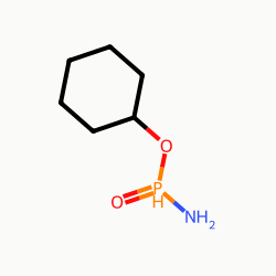 N[PH](=O)OC1CCCCC1